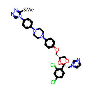 CSc1nncn1-c1ccc(N2CCN(c3ccc(OC[C@@H]4CO[C@@](Cn5ccnc5)(c5ccc(Cl)cc5Cl)O4)cc3)CC2)cc1